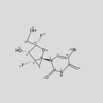 C=C1NC(=O)N([C@@]23C[C@@]2(F)[C@H](O)[C@@](F)(CO)O3)C=C1Br